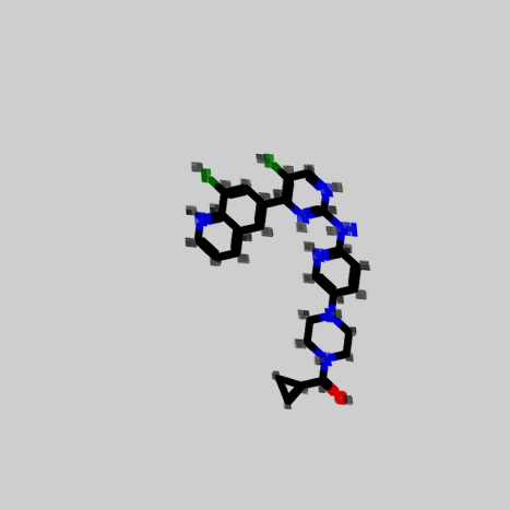 O=C(C1CC1)N1CCN(c2ccc(Nc3ncc(F)c(-c4cc(F)c5ncccc5c4)n3)nc2)CC1